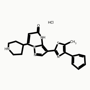 Cc1sc(-c2cnn3c(C4CCNCC4)cc(=O)[nH]c23)nc1-c1ccccc1.Cl